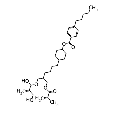 C=C(C)C(=O)OCC(CCCCC1CCC(OC(=O)c2ccc(CCCCC)cc2)CC1)COC(O)C(=C)CO